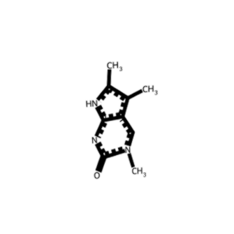 Cc1[nH]c2nc(=O)n(C)cc2c1C